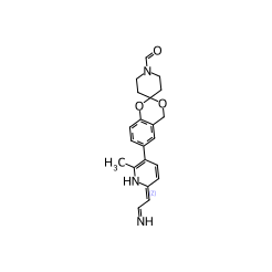 CC1=C(c2ccc3c(c2)COC2(CCN(C=O)CC2)O3)C=C/C(=C/C=N)N1